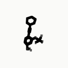 Cc1ccc(C#CC2CCCCC2)c(SC(F)(F)F)c1